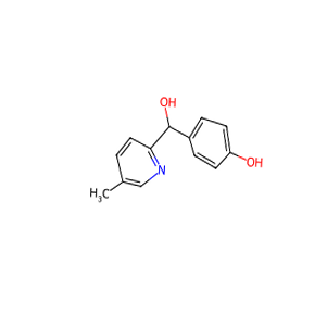 Cc1ccc(C(O)c2ccc(O)cc2)nc1